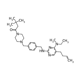 C=CCCc1cnc(NCc2ccc(CN3CCN(C(=O)CC(C)(C)C)CC3)cc2)nc1N(C)CC